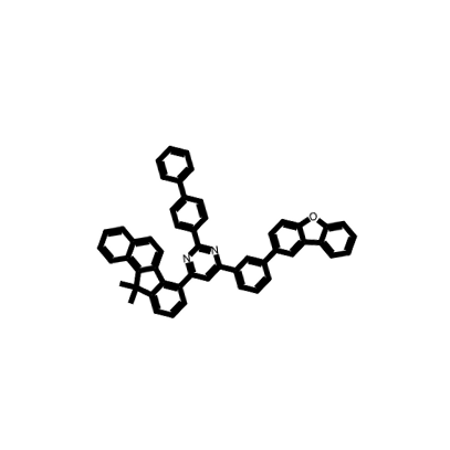 CC1(C)c2cccc(-c3cc(-c4cccc(-c5ccc6oc7ccccc7c6c5)c4)nc(-c4ccc(-c5ccccc5)cc4)n3)c2-c2ccc3ccccc3c21